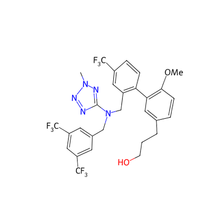 COc1ccc(CCCO)cc1-c1ccc(C(F)(F)F)cc1CN(Cc1cc(C(F)(F)F)cc(C(F)(F)F)c1)c1nnn(C)n1